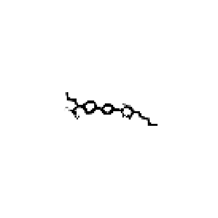 CCCCCc1cnc(-c2ccc(-c3ccc(C(CCC)C(=O)O)cc3)cc2)nc1